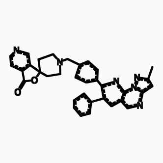 Cc1cc2ncc3cc(-c4ccccc4)c(-c4ccc(CN5CCC6(CC5)OC(=O)c5ccncc56)cc4)nc3n2n1